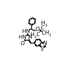 CC(C)(C)OCC(NC1=N/C(=C\c2ccc3ncsc3c2)C(=O)N1)c1ccccc1